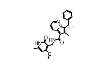 COc1cc(C)[nH]c(=O)c1CNC(=O)c1c(C)c([C@@H](C)c2ccccc2)n2ncccc12